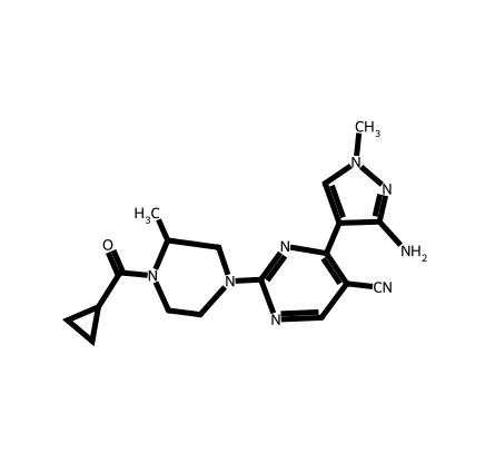 CC1CN(c2ncc(C#N)c(-c3cn(C)nc3N)n2)CCN1C(=O)C1CC1